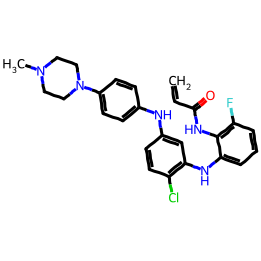 C=CC(=O)Nc1c(F)cccc1Nc1cc(Nc2ccc(N3CCN(C)CC3)cc2)ccc1Cl